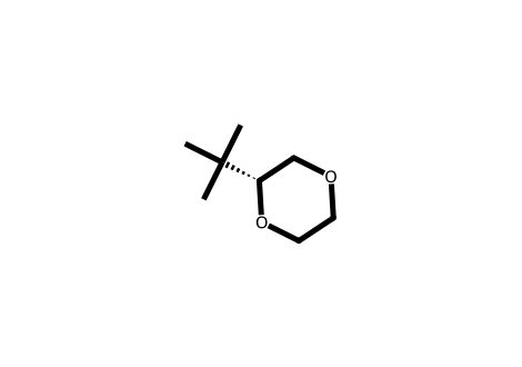 CC(C)(C)[C@@H]1COCCO1